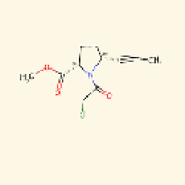 CC#C[C@H]1CC[C@@H](C(=O)OC)N1C(=O)CCl